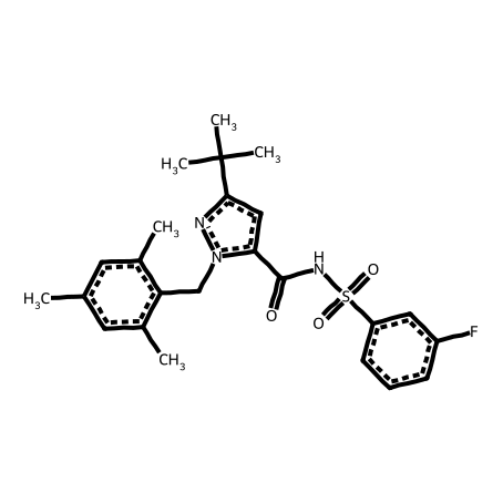 Cc1cc(C)c(Cn2nc(C(C)(C)C)cc2C(=O)NS(=O)(=O)c2cccc(F)c2)c(C)c1